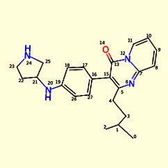 CC(C)CCc1nc2ccccn2c(=O)c1-c1ccc(NC2CCNC2)cc1